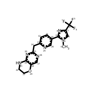 Cn1cc(C(F)(F)F)nc1-c1ccc(Cc2ncc3c(n2)NCCO3)nc1